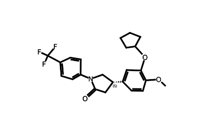 COc1ccc([C@@H]2CC(=O)N(c3ccc(C(F)(F)F)cc3)C2)cc1OC1CCCC1